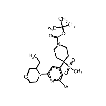 CCC1COCCN1c1cc(C2(S(C)(=O)=O)CCN(C(=O)OC(C)(C)C)CC2)cc(Br)n1